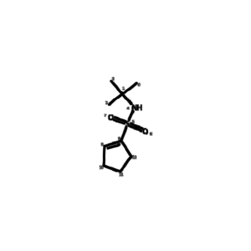 CC(C)(C)NS(=O)(=O)C1=CCCC1